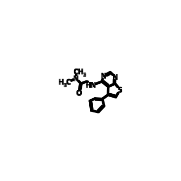 CN(C)C(=O)CNc1ncnc2scc(-c3ccccc3)c12